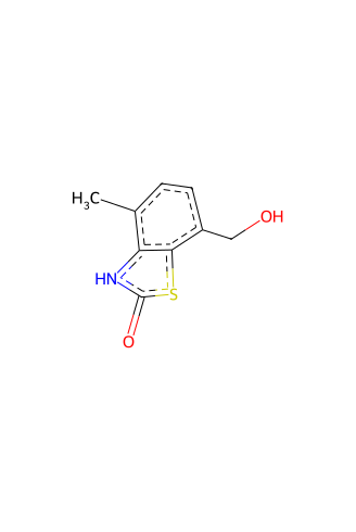 Cc1ccc(CO)c2sc(=O)[nH]c12